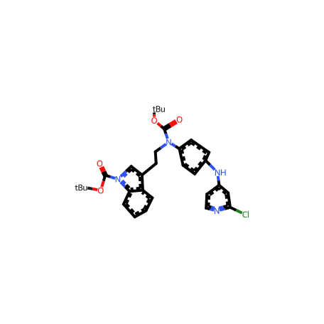 CC(C)(C)OC(=O)N(CCc1cn(C(=O)OC(C)(C)C)c2ccccc12)c1ccc(Nc2ccnc(Cl)c2)cc1